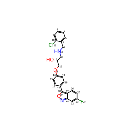 O[C@H](CNCc1ccccc1Cl)COc1ccc(-c2onc3cc(F)ccc23)cc1